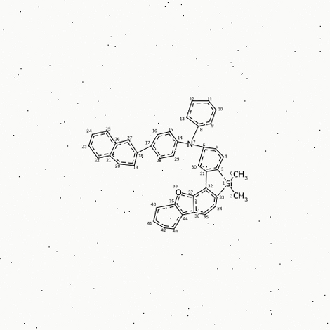 C[Si]1(C)c2ccc(N(c3ccccc3)c3ccc(-c4ccc5ccccc5c4)cc3)cc2-c2c1ccc1c2oc2ccccc21